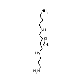 CCl.NCCCNCCCCNCCCN